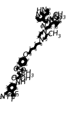 C[C@@H]1CN(CCCCCOc2ccc(S(=O)(=O)C[C@](C)(O)C(=O)Nc3ccc(C#N)c(C(F)(F)F)c3)cc2)CCN1c1cc(C2(S(C)(=N)=O)CC2)nc(-c2ccnc3[nH]ccc23)n1